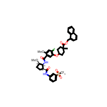 COc1cc(F)c(OC2CCC(C)(C(=O)OCc3cccc4ccccc34)CC2)cc1C(=O)N[C@H]1[C@@H](C(=O)Nc2cccc(S(=O)(=O)C(F)(F)F)c2)CC[C@H]1OC